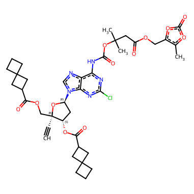 C#C[C@]1(COC(=O)C2CC3(CCC3)C2)O[C@@H](n2cnc3c(NC(=O)OC(C)(C)CC(=O)OCc4oc(=O)oc4C)nc(Cl)nc32)C[C@@H]1OC(=O)C1CC2(CCC2)C1